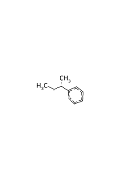 C[CH][C@H](C)c1ccccc1